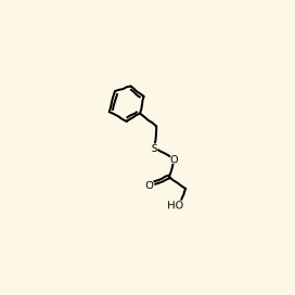 O=C(CO)OSCc1ccccc1